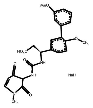 COc1cccc(-c2cc([C@H](CC(=O)O)NC(=O)NC3C(=O)C=CN(C)C3=O)ccc2OC(F)(F)F)c1.[NaH]